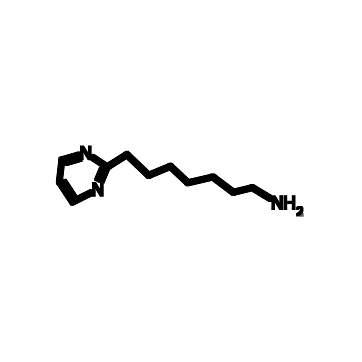 NCCCCCCCc1ncccn1